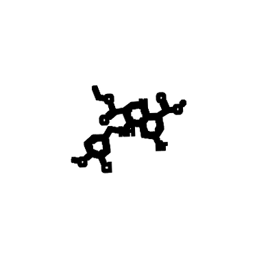 CCOC(=O)c1cnc2c(C(=O)OC)cc(Br)cc2c1NCc1ccc(OC)c(Cl)c1